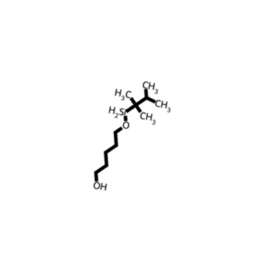 CC(C)C(C)(C)[SiH2]OCCCCCO